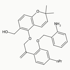 C=C(COc1c(CO)ccc2c1C=CC(C)(C)O2)c1ccc(CCC)cc1OCc1ccccc1N